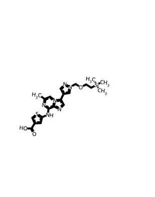 Cc1cn2c(-c3cnn(COCC[Si](C)(C)C)c3)cnc2c(Nc2cc(C(=O)O)cs2)n1